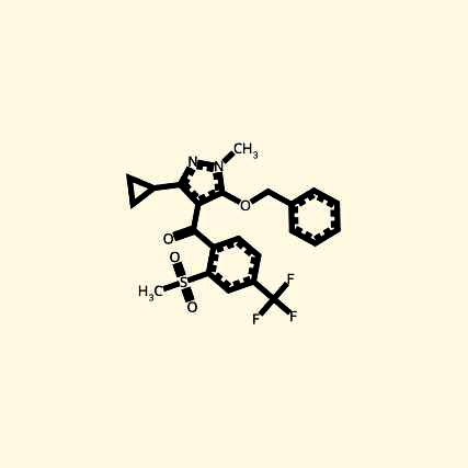 Cn1nc(C2CC2)c(C(=O)c2ccc(C(F)(F)F)cc2S(C)(=O)=O)c1OCc1ccccc1